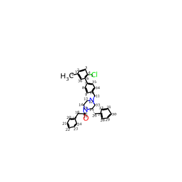 Cc1ccc(Cl)c(-c2ccc(CN3CCN(C(=O)Cc4ccccc4)[C@@H](Cc4ccccc4)C3)cc2)c1